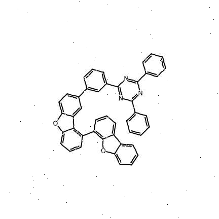 c1ccc(-c2nc(-c3ccccc3)nc(-c3cccc(-c4ccc5oc6cccc(-c7cccc8c7oc7ccccc78)c6c5c4)c3)n2)cc1